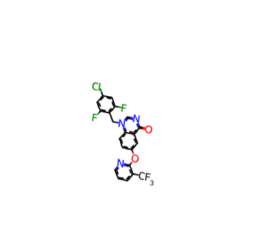 O=c1ncn(Cc2c(F)cc(Cl)cc2F)c2ccc(Oc3ncccc3C(F)(F)F)cc12